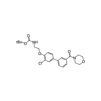 CC(C)(C)OC(=O)NCCOc1ccc(-c2cccc(C(=O)N3CCOCC3)c2)cc1Cl